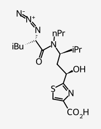 CCCN(C(=O)[C@@H](N=[N+]=[N-])[C@@H](C)CC)[C@H](C[C@@H](O)c1nc(C(=O)O)cs1)C(C)C